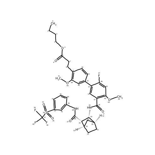 CCCCOC(=O)CCc1ccc(-c2cc(C(=O)N[C@@H]3[C@H]4CC[C@H](C4)[C@@H]3C(=O)Nc3cccc(S(=O)(=O)C(F)(F)F)c3)c(OC)cc2F)cc1OC